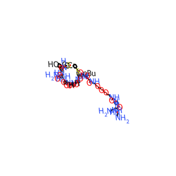 CCCC[C@H](NC(=O)CCC(=O)NCCCOCCOCCOCCCNC(=O)CN1CCN(C(=O)C(CNCCN)CNCCN)CC1)C(=O)N[C@H]1CSCc2cccc(c2)CSC[C@@H](C(=O)O)NC(=O)[C@H](Cc2ccccc2)NC(=O)[C@H](CCC(N)=O)NC(=O)[C@H]([C@@H](C)O)NC(=O)[C@@H]2CCCN2C(=O)[C@@H]2CCCN2C1=O